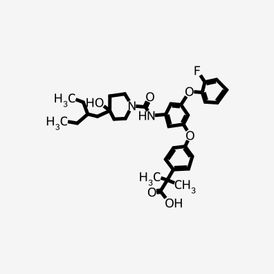 CCC(CC)CC1(O)CCN(C(=O)Nc2cc(Oc3ccc(C(C)(C)C(=O)O)cc3)cc(Oc3ccccc3F)c2)CC1